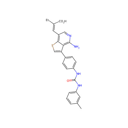 CCC(=Cc1cnc(N)c2c(-c3ccc(NC(=O)Nc4cccc(C)c4)cc3)csc12)C(=O)O